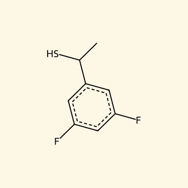 CC(S)c1cc(F)cc(F)c1